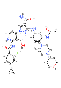 C=CC(=O)Nc1cc(Nc2nn(-c3ccnc(NC(=O)c4ccc(C5CC5)cc4F)c3CO)cc2C(N)=O)ccc1N1CCN(C2CCOCC2)C[C@@H]1C